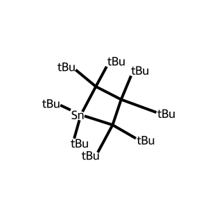 CC(C)(C)C1(C(C)(C)C)[C](C(C)(C)C)(C(C)(C)C)[Sn]([C](C)(C)C)([C](C)(C)C)[C]1(C(C)(C)C)C(C)(C)C